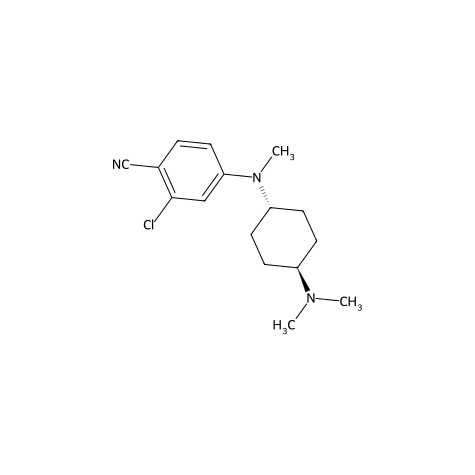 CN(C)[C@H]1CC[C@H](N(C)c2ccc(C#N)c(Cl)c2)CC1